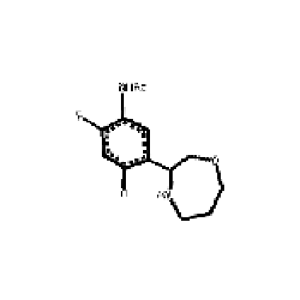 CC(=O)Nc1cc(C2COCCCN2)c(Cl)cc1F